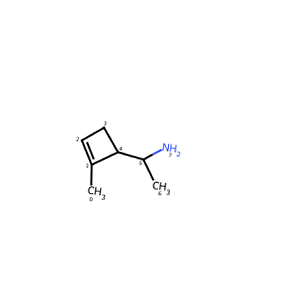 CC1=CCC1C(C)N